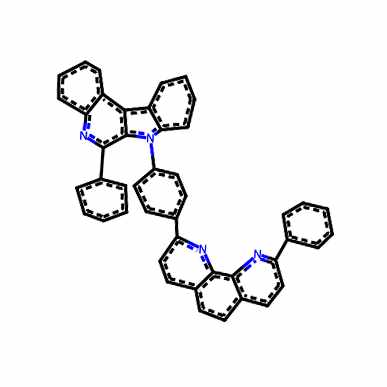 c1ccc(-c2ccc3ccc4ccc(-c5ccc(-n6c7ccccc7c7c8ccccc8nc(-c8ccccc8)c76)cc5)nc4c3n2)cc1